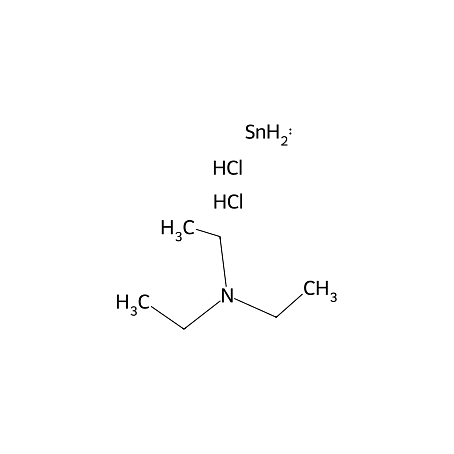 CCN(CC)CC.Cl.Cl.[SnH2]